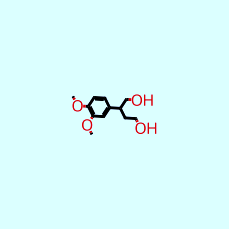 COc1ccc(C(CO)CCO)cc1OC